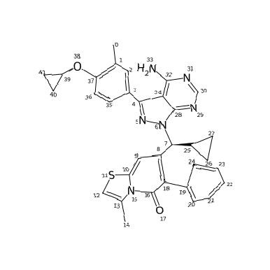 Cc1cc(-c2nn([C@H](c3cc4scc(C)n4c(=O)c3-c3ccccc3)C3CC3)c3ncnc(N)c23)ccc1OC1CC1